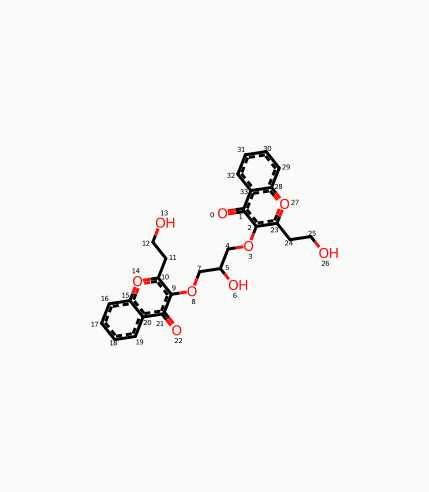 O=c1c(OCC(O)COc2c(CCO)oc3ccccc3c2=O)c(CCO)oc2ccccc12